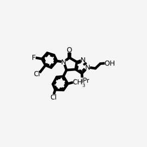 Cc1cc(Cl)ccc1C1c2c(nn(CCO)c2C(C)C)C(=O)N1c1ccc(F)c(Cl)c1